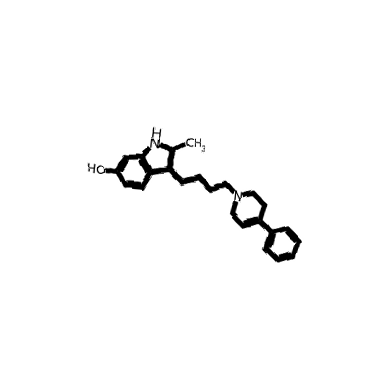 CC1Nc2cc(O)ccc2C1CCCCN1CC=C(c2ccccc2)CC1